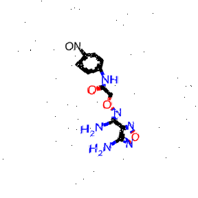 N/C(=N\OCC(=O)Nc1ccc(N=O)cc1)c1nonc1N